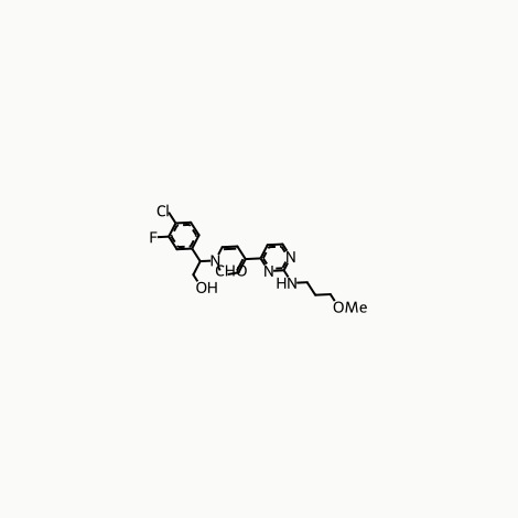 C/C=C(\C=C/N(C=O)C(CO)c1ccc(Cl)c(F)c1)c1ccnc(NCCCOC)n1